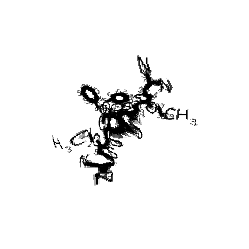 CCCOc1cc(C=C(C#N)C#N)sc1-c1cc2c(s1)-c1sc3cc(-c4sc(C=C(C#N)C#N)cc4OCCC)sc3c1C2(C(=O)OCc1ccccc1)C(=O)OCc1ccccc1